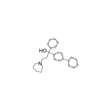 OC(CCN1CCCCC1)(c1ccccc1)c1ccc(-c2ccccc2)cc1